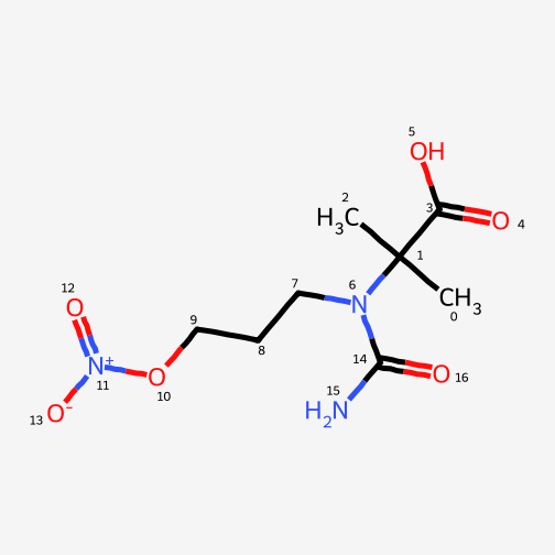 CC(C)(C(=O)O)N(CCCO[N+](=O)[O-])C(N)=O